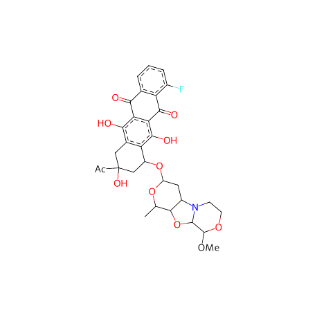 COC1OCCN2C3CC(OC4CC(O)(C(C)=O)Cc5c(O)c6c(c(O)c54)C(=O)c4c(F)cccc4C6=O)OC(C)C3OC12